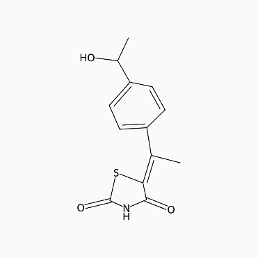 C/C(=C1/SC(=O)NC1=O)c1ccc(C(C)O)cc1